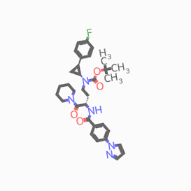 CC(C)(C)OC(=O)N(CC[C@H](NC(=O)c1ccc(-n2cccn2)cc1)C(=O)N1CCCCC1)[C@@H]1C[C@H]1c1ccc(F)cc1